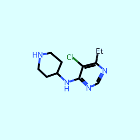 CCc1ncnc(NC2CCNCC2)c1Cl